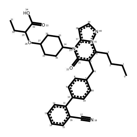 CCCCc1c(Cc2ccc(-c3ccccc3C#N)cc2)c(=O)n(C2CCC(OC(CC)C(=O)O)CC2)c2ccnn12